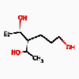 CCC(O)C(CCCO)C(C)O